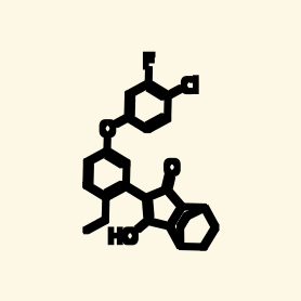 CCc1ccc(Oc2ccc(Cl)c(F)c2)cc1C1=C(O)C2C3CCC(CC3)C2C1=O